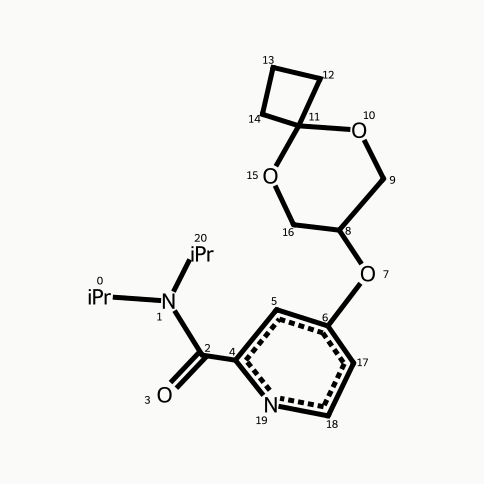 CC(C)N(C(=O)c1cc(OC2COC3(CCC3)OC2)ccn1)C(C)C